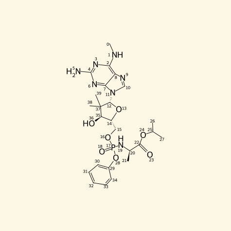 CNc1nc(N)nc2c1ncn2[C@@H]1O[C@H](COP(=O)(N[C@H](C)C(=O)OC(C)C)Oc2ccccc2)[C@@H](O)C1(C)C